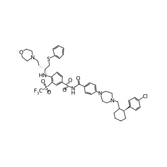 O=C(NS(=O)(=O)c1ccc(N[C@H](CCN2CCOCC2)CSc2ccccc2)c(S(=O)(=O)C(F)(F)F)c1)c1ccc(N2CCN(CC3CCCC[C@@H]3c3ccc(Cl)cc3)CC2)cc1